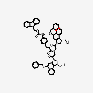 O=C(Nc1ccc(CCC(=O)N(CC(=O)N2C[C@@H](CCl)c3c2cc(OCc2ccccc2)c2ccccc32)CC(=O)N2C[C@@H](CCl)c3c2cc(OCc2ccccc2)c2ccccc32)cc1)OCC1c2ccccc2-c2ccccc21